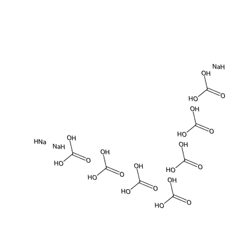 O=C(O)O.O=C(O)O.O=C(O)O.O=C(O)O.O=C(O)O.O=C(O)O.O=C(O)O.[NaH].[NaH].[NaH]